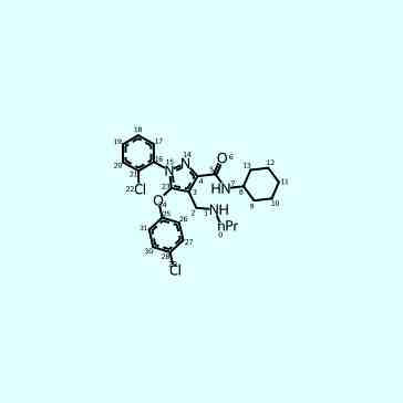 CCCNCc1c(C(=O)NC2CCCCC2)nn(-c2ccccc2Cl)c1Oc1ccc(Cl)cc1